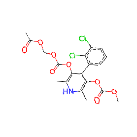 COC(=O)OC1=C(C)NC(C)=C(OC(=O)OCOC(C)=O)C1c1cccc(Cl)c1Cl